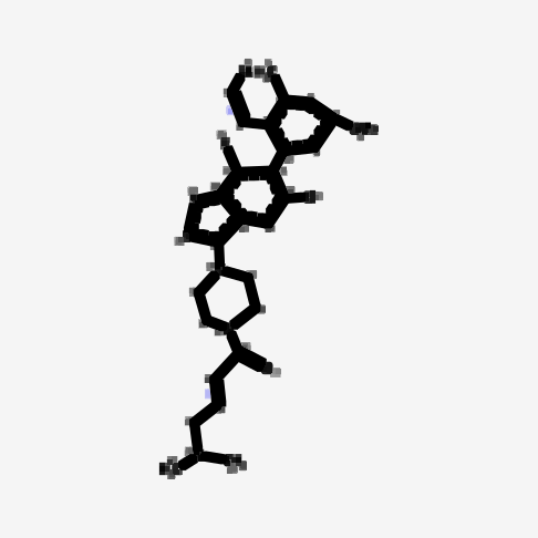 CC/C=C\c1c(C)cc(OC)cc1-c1c(Cl)cc2c(N3CCN(C(=O)/C=C/CN(C)C)CC3)snc2c1F